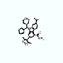 Cc1noc(C)c1-c1cc(C(N)=O)c2c3ccc(C(C)C)cc3n(C(c3ccccc3)C3CCOCC3)c2c1